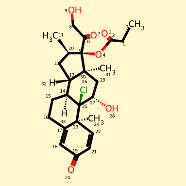 CCC(=O)O[C@]1(C(=O)CO)[C@H](C)C[C@H]2[C@@H]3CCC4=CC(=O)C=C[C@]4(C)[C@@]3(Cl)[C@@H](O)C[C@@]21C